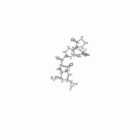 CC(C)(C)[Si](C)(C)O[C@H]1CN(C(=O)c2nc3c(C(F)(F)F)cc(C4CC4)cn3c2Cl)CC[C@H]1N1CCCC1=O